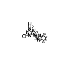 Nc1nc(Cl)nc2c1ncn2Cc1nc2ccccc2[nH]1